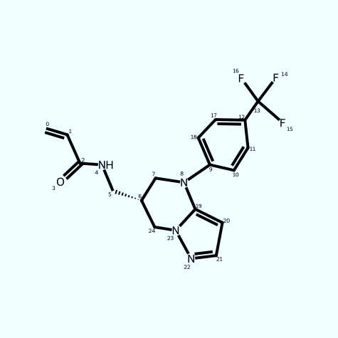 C=CC(=O)NC[C@@H]1CN(c2ccc(C(F)(F)F)cc2)c2ccnn2C1